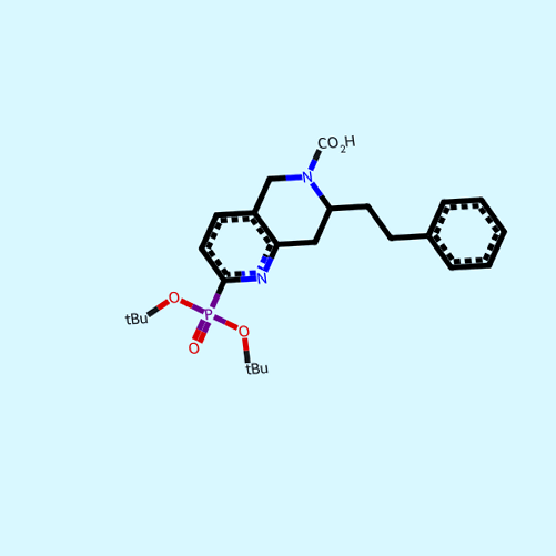 CC(C)(C)OP(=O)(OC(C)(C)C)c1ccc2c(n1)CC(CCc1ccccc1)N(C(=O)O)C2